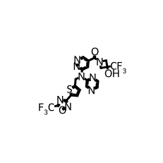 O=C(c1cnnc(N(Cc2ccc(-c3noc(C(F)(F)F)n3)s2)c2cnccn2)c1)N1CC(O)(C(F)(F)F)C1